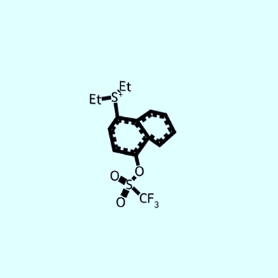 CC[S+](CC)c1ccc(OS(=O)(=O)C(F)(F)F)c2ccccc12